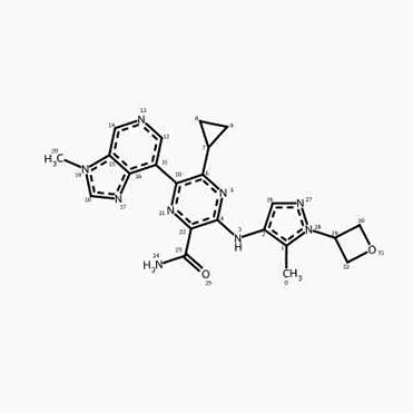 Cc1c(Nc2nc(C3CC3)c(-c3cncc4c3ncn4C)nc2C(N)=O)cnn1C1COC1